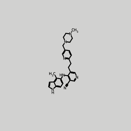 Cc1c(Nc2c(C#N)cncc2CCc2ccc(CN3CCN(C)CC3)cn2)ccc2[nH]ccc12